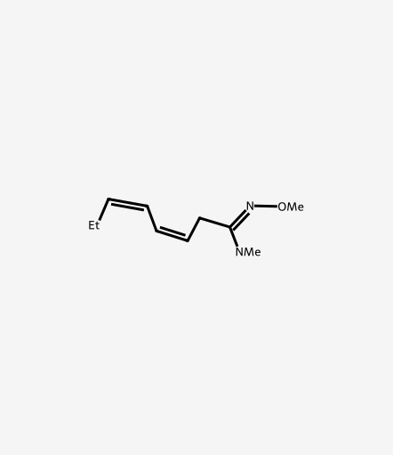 CC/C=C\C=C/C/C(=N/OC)NC